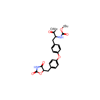 COC(=O)C(Cc1ccc(Oc2ccc(CC3OC(=O)NC3=O)cc2)cc1)NC(=O)OC(C)(C)C